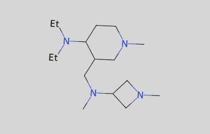 CCN(CC)C1CCN(C)CC1CN(C)C1CN(C)C1